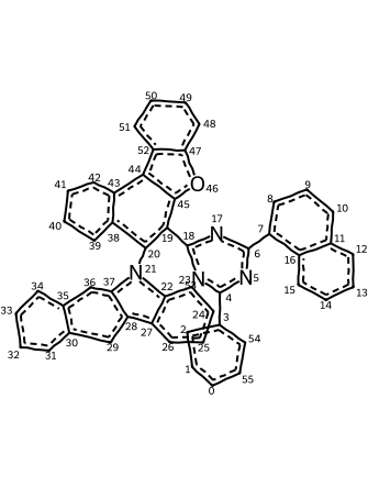 c1ccc(-c2nc(-c3cccc4ccccc34)nc(-c3c(-n4c5ccccc5c5cc6ccccc6cc54)c4ccccc4c4c3oc3ccccc34)n2)cc1